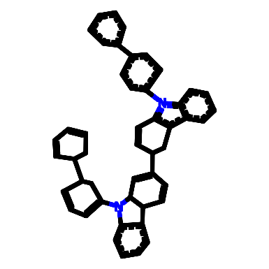 C1=CCC(C2C=CC=C(N3c4ccccc4C4C=CC(C5C=Cc6c(c7ccccc7n6-c6ccc(-c7ccccc7)cc6)C5)=CC43)C2)C=C1